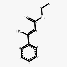 CCOC(=S)/C=C(\O)c1ccccc1